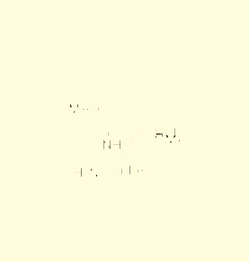 CCCCCC(N)N.COC(=O)c1ccccc1C(=O)OC.Cl